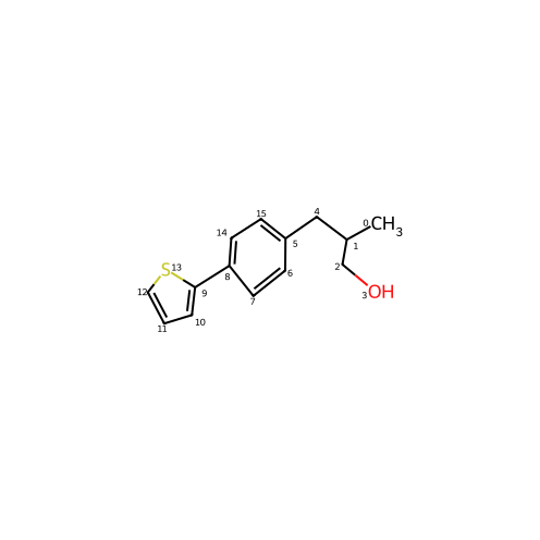 CC(CO)Cc1ccc(-c2cccs2)cc1